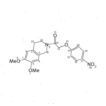 COc1cc2c(cc1OC)CN(C(=O)COc1ccc([N+](=O)[O-])cc1)CC2